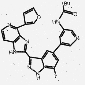 CC(C)(C)C(=O)Nc1cncc(-c2cc(F)c3[nH]nc(-c4nc5c(-c6ccoc6)nccc5[nH]4)c3c2)c1